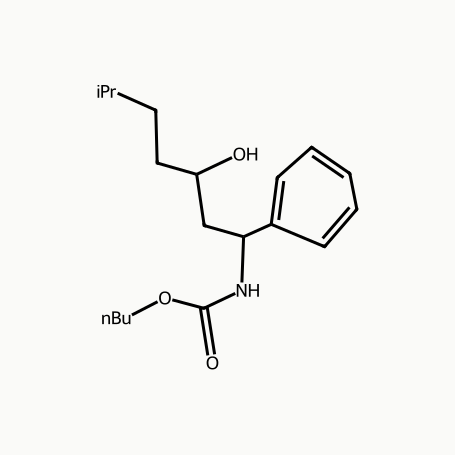 CCCCOC(=O)NC(CC(O)CCC(C)C)c1ccccc1